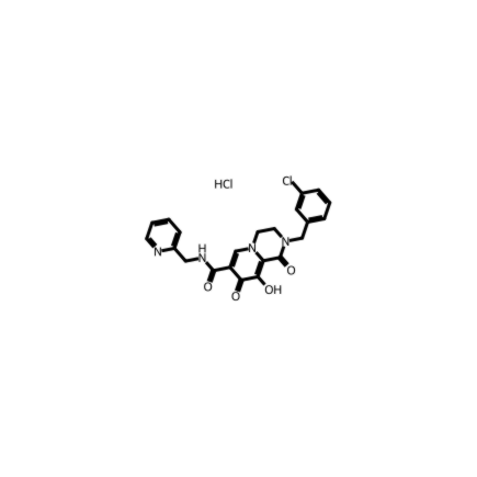 Cl.O=C(NCc1ccccn1)c1cn2c(c(O)c1=O)C(=O)N(Cc1cccc(Cl)c1)CC2